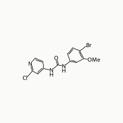 COc1cc(NC(=O)Nc2ccnc(Cl)c2)ccc1Br